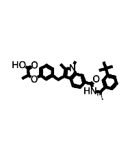 Cc1c(Cc2cccc(OC(C)C(=O)O)c2)c2ccc(C(=O)N[C@@H](C)c3cccc(C(C)(C)C)c3)cc2n1C